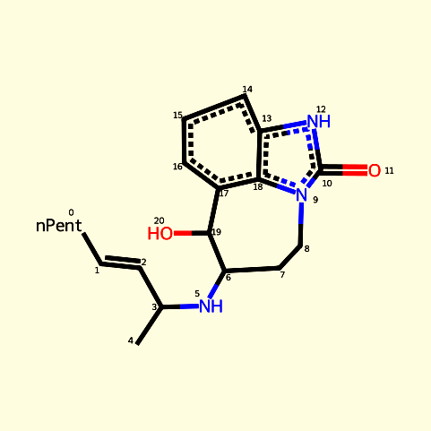 CCCCCC=CC(C)NC1CCn2c(=O)[nH]c3cccc(c32)C1O